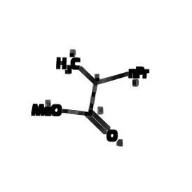 [CH2]CCC(C)C(=O)OC